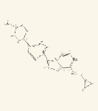 CN1CCN(c2ccc(-c3cnc4c(NCC5CC5)nccn34)cn2)CC1